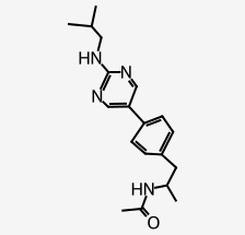 CC(=O)NC(C)Cc1ccc(-c2cnc(NCC(C)C)nc2)cc1